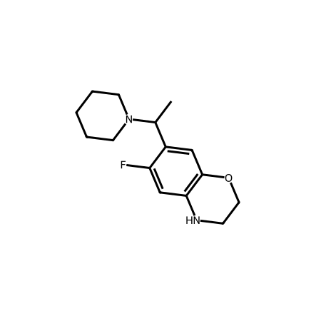 CC(c1cc2c(cc1F)NCCO2)N1CCCCC1